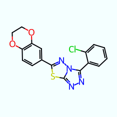 Clc1ccccc1-c1nnc2sc(-c3ccc4c(c3)OCCO4)nn12